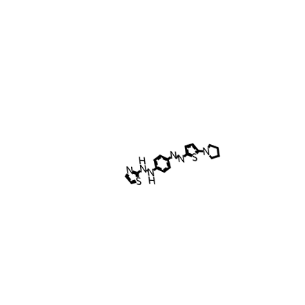 c1csc(NNc2ccc(/N=N/c3ccc(N4CCCC4)s3)cc2)n1